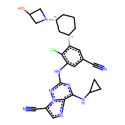 N#Cc1cc(Nc2nc(NC3CC3)c3ncc(C#N)n3n2)c(Cl)c([C@H]2CCC[C@@H](N3CC(O)C3)C2)c1